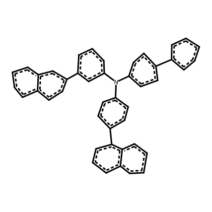 c1ccc(-c2ccc(N(c3ccc(-c4cccc5ccccc45)cc3)c3cccc(-c4ccc5ccccc5c4)c3)cc2)cc1